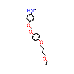 C=COCCCCOc1ccc(OCOc2ccc(NC)cc2)cc1